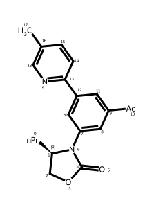 CCC[C@@H]1COC(=O)N1c1cc(C(C)=O)cc(-c2ccc(C)cn2)c1